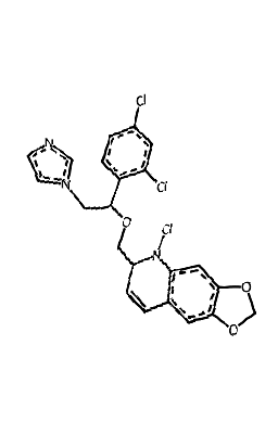 Clc1ccc(C(Cn2ccnc2)OCC2C=Cc3cc4c(cc3N2Cl)OCO4)c(Cl)c1